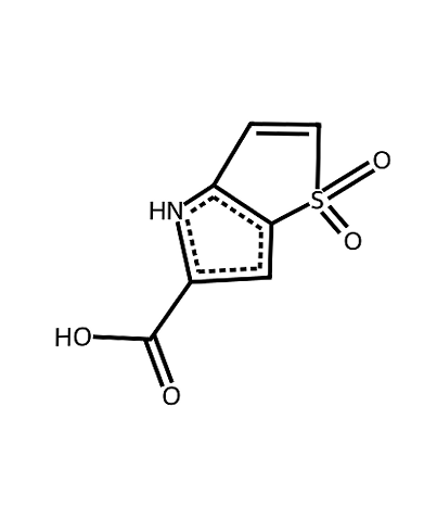 O=C(O)c1cc2c([nH]1)C=CS2(=O)=O